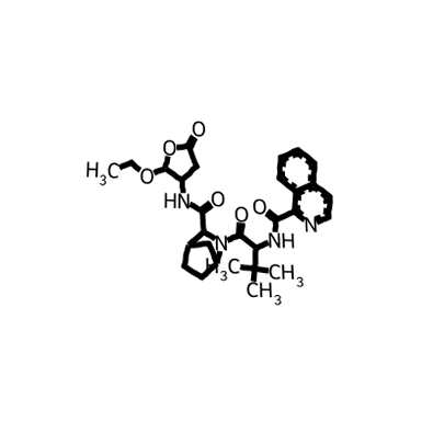 CCOC1OC(=O)CC1NC(=O)C1C2CCC(C2)N1C(=O)C(NC(=O)c1nccc2ccccc12)C(C)(C)C